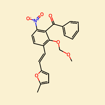 COCOc1c(/C=C/c2ccc(C)o2)ccc([N+](=O)[O-])c1C(=O)c1ccccc1